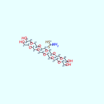 NC(=S)S.OCCOCCOCCOCCOCCOCCO.OCCOCCOCCOCCOCCOCCO